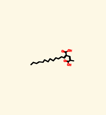 CCCCCCCCCCCCC=C(C=C(C)C(=O)O)C(=O)O